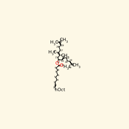 CCCCCCCC/C=C/CCCCCCCC(=O)OC(/C=C(\C)CCC=C(C)C)C/C=C(\C)CCC=C(C)C